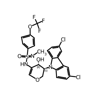 CN=S(=O)(NC1=COC[C@H](n2c3ccc(Cl)cc3c3cc(Cl)ccc32)[C@H]1O)c1ccc(OC(F)(F)F)cc1